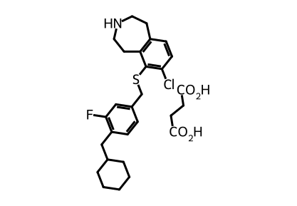 Fc1cc(CSc2c(Cl)ccc3c2CCNCC3)ccc1CC1CCCCC1.O=C(O)CCC(=O)O